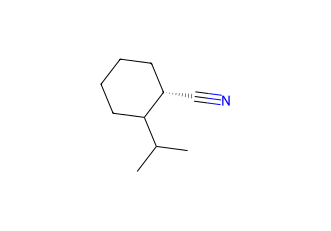 CC(C)C1CCCC[C@@H]1C#N